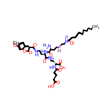 CCCCCCCCCC(=O)NCCPCC[C@H](N)C(=O)N[C@H](CCNC(=O)C1C=C2C=CC(OC)=CC2OC1=O)C(=O)NCC[C@@H](NC(=O)CCCC(=O)O)C(=O)O